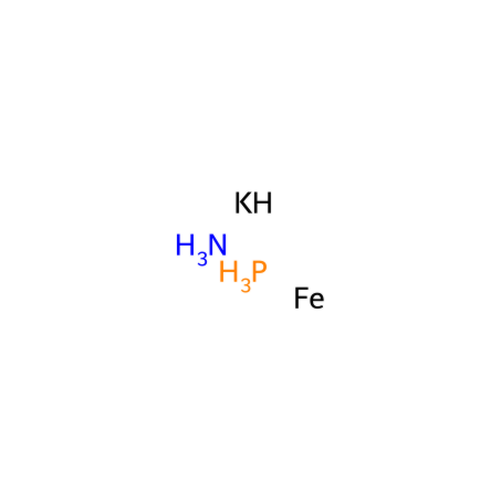 N.P.[Fe].[KH]